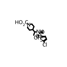 O=C(O)N1CCC(C(CO)NS(=O)(=O)c2ccc(Cl)s2)CC1